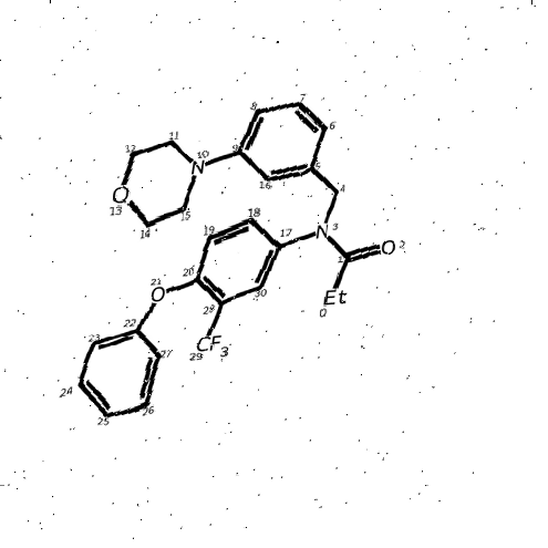 CCC(=O)N(Cc1cccc(N2CCOCC2)c1)c1ccc(Oc2ccccc2)c(C(F)(F)F)c1